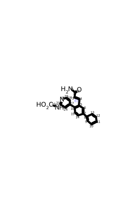 NC(=O)/C=C/c1cc(-c2ccccc2)ccc1-c1ccnc(NC(=O)O)c1